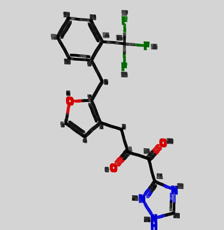 O=C(Cc1ccoc1Cc1ccccc1C(F)(F)F)C(=O)c1nc[nH]n1